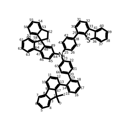 CC1(C)c2ccccc2-c2cccc(-c3ccccc3-c3ccc(N(c4ccc(-c5cccc6c5sc5ccccc56)cc4)c4ccc5c(c4)C4(CCc6ccccc64)c4ccccc4-5)cc3)c21